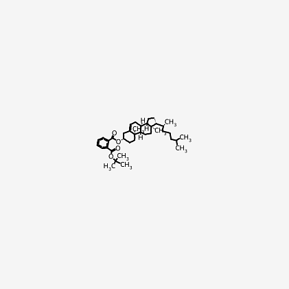 CC(C)CCC[C@@H](C)[C@H]1CC[C@H]2[C@@H]3CC=C4C[C@@H](OC(=O)c5ccccc5C(=O)OC(C)(C)C)CC[C@]4(C)[C@H]3CC[C@]12C